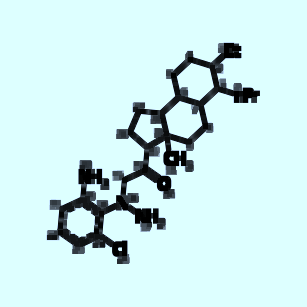 CCCC1C(CC)CCC2C1CCC1(C)C(C(=O)CN(N)c3c(N)cccc3Cl)CCC21